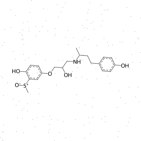 CC(CCc1ccc(O)cc1)NCC(O)COc1ccc(O)c([S+](C)[O-])c1